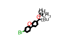 C[SiH](C)OC(c1ccc2c(c1)oc1cc(Br)ccc12)C(C)(C)C